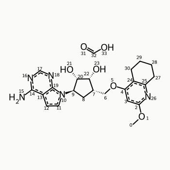 COc1cc(OC[C@@H]2C[C@@H](n3ccc4c(N)ncnc43)[C@H](O)[C@@H]2O)c2c(n1)CCCC2.O=CO